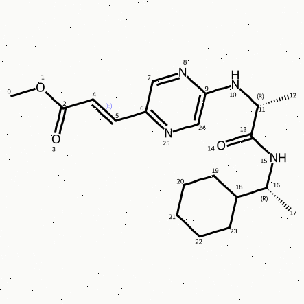 COC(=O)/C=C/c1cnc(N[C@H](C)C(=O)N[C@H](C)C2CCCCC2)cn1